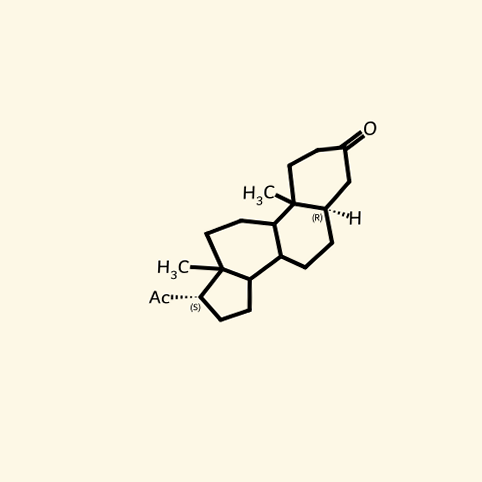 CC(=O)[C@H]1CCC2C3CC[C@@H]4CC(=O)CCC4(C)C3CCC21C